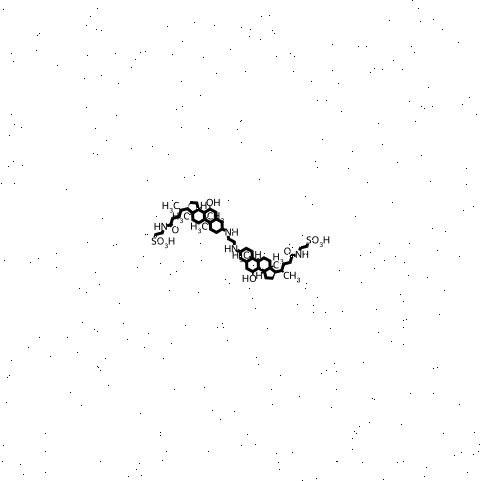 C[C@H](CCC(=O)NCCS(=O)(=O)O)[C@H]1CC[C@@H]2C3[C@@H](CC[C@@]21C)[C@@]1(C)CCC(NCCNC2CC[C@]4(C)C(C2)C[C@@H](O)C2[C@@H]5CC[C@@H]([C@@H](C)CCC(=O)NCCS(=O)(=O)O)[C@]5(C)CC[C@@]24C)CC1C[C@@H]3O